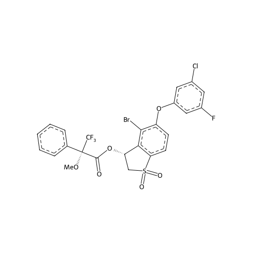 CO[C@](C(=O)O[C@H]1CS(=O)(=O)c2ccc(Oc3cc(F)cc(Cl)c3)c(Br)c21)(c1ccccc1)C(F)(F)F